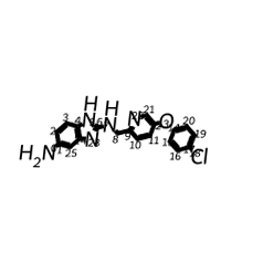 Nc1ccc2[nH]c(NCc3ccc(Oc4ccc(Cl)cc4)cn3)nc2c1